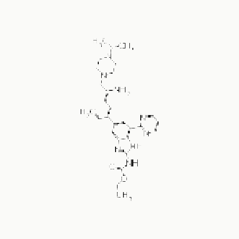 C=C/C(=C\C=C(/N)CN1CCN(C(C)C)CC1)c1cc(-c2ncccn2)c2[nH]c(NC(=O)OCC)nc2c1